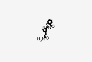 NC(=O)CCc1ccnc(-c2nc(=O)c3ccccc3s2)c1